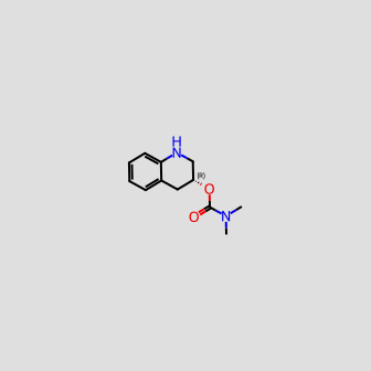 CN(C)C(=O)O[C@H]1CNc2ccccc2C1